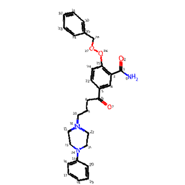 NC(=O)c1cc(C(=O)CCCN2CCN(c3ccccc3)CC2)ccc1OOCc1ccccc1